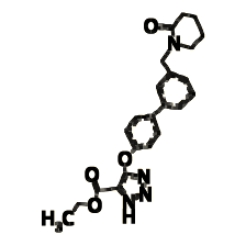 CCOC(=O)c1[nH]nnc1Oc1ccc(-c2cccc(CN3CCCCC3=O)c2)cc1